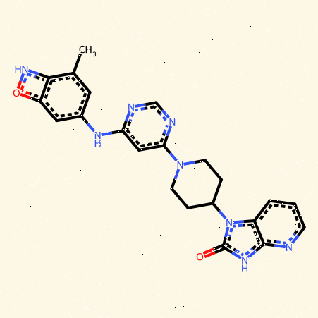 Cc1cc(Nc2cc(N3CCC(n4c(=O)[nH]c5ncccc54)CC3)ncn2)cc2o[nH]c12